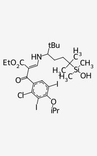 CCOC(=O)C(=CNC(CCC(C)(C)[Si](C)(C)O)C(C)(C)C)C(=O)c1cc(I)c(OC(C)C)c(I)c1Cl